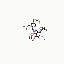 C=C(C)C1=C(/C=C\C)CN(Cc2ccc(C)cc2C)C1=O